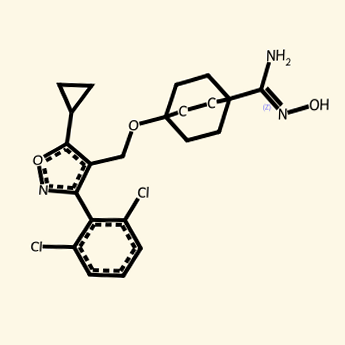 N/C(=N\O)C12CCC(OCc3c(-c4c(Cl)cccc4Cl)noc3C3CC3)(CC1)CC2